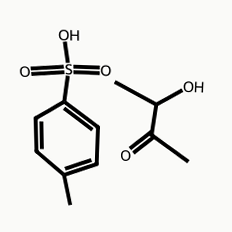 CC(=O)C(C)O.Cc1ccc(S(=O)(=O)O)cc1